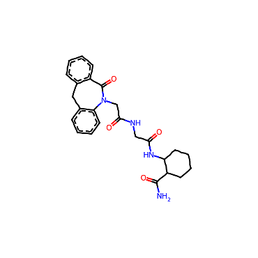 NC(=O)C1CCCCC1NC(=O)CNC(=O)CN1C(=O)c2ccccc2Cc2ccccc21